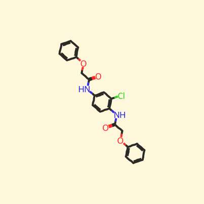 O=C(COc1ccccc1)Nc1ccc(NC(=O)COc2ccccc2)c(Cl)c1